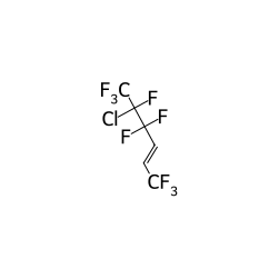 FC(F)(F)C=CC(F)(F)C(F)(Cl)C(F)(F)F